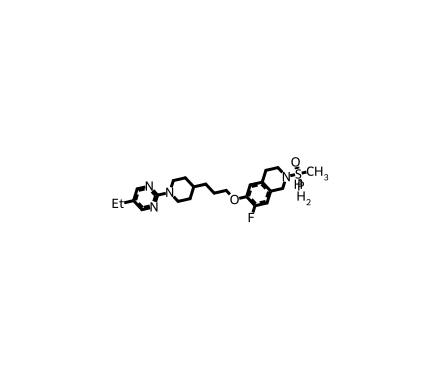 CCc1cnc(N2CCC(CCCOc3cc4c(cc3F)CN([SH](C)(=O)P)CC4)CC2)nc1